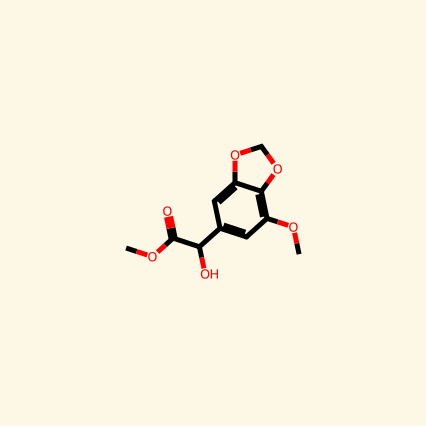 COC(=O)C(O)c1cc(OC)c2c(c1)OCO2